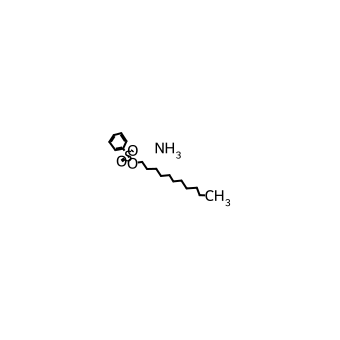 CCCCCCCCCCCOS(=O)(=O)c1ccccc1.N